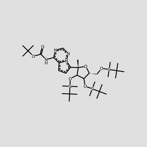 CC(C)(C)OC(=O)Nc1ncnn2c([C@]3(C)O[C@H](CO[Si](C)(C)C(C)(C)C)C(O[Si](C)(C)C(C)(C)C)C3O[Si](C)(C)C(C)(C)C)ccc12